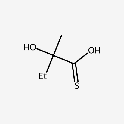 CCC(C)(O)C(O)=S